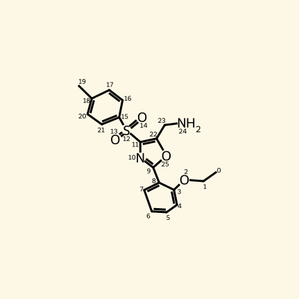 CCOc1ccccc1-c1nc(S(=O)(=O)c2ccc(C)cc2)c(CN)o1